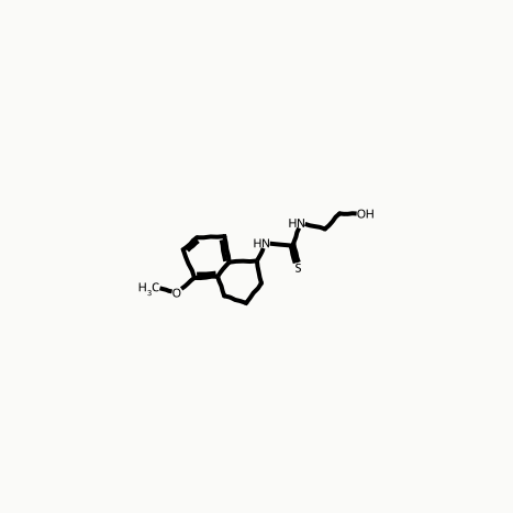 COc1cccc2c1CCCC2NC(=S)NCCO